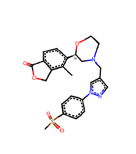 Cc1c([C@@H]2CN(Cc3cnn(-c4ccc(S(C)(=O)=O)cc4)c3)CCO2)ccc2c1COC2=O